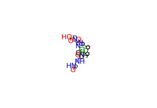 COc1nc(-c2cccc(-c3cccc(-c4ccn5c(=O)c(CN6CCC[C@H]6C(=O)O)cnc5c4)c3Cl)c2Cl)ccc1CNC[C@H]1CCC(=O)N1